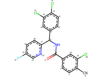 N#Cc1ccc(C(=O)NC(c2ccc(Cl)c(Cl)c2)c2ccc(F)cn2)cc1Cl